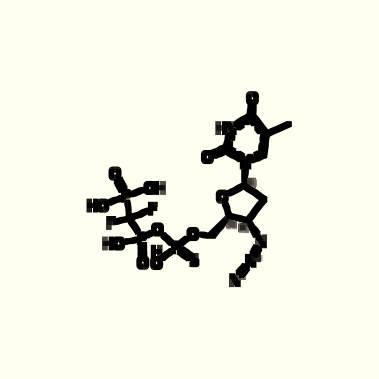 Cc1cn([C@H]2C[C@@H](N=[N+]=[N-])[C@@H](COP(O)(=S)OP(=O)(O)C(F)(F)P(=O)(O)O)O2)c(=O)[nH]c1=O